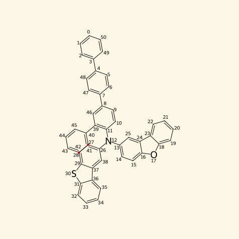 c1ccc(-c2ccc(-c3ccc(N(c4ccc5oc6ccccc6c5c4)c4ccc5sc6ccccc6c5c4)c(-c4ccccc4)c3)cc2)cc1